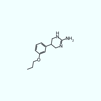 CCCOc1cccc(C2CN=C(N)NC2)c1